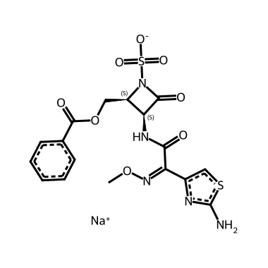 CON=C(C(=O)N[C@@H]1C(=O)N(S(=O)(=O)[O-])[C@@H]1COC(=O)c1ccccc1)c1csc(N)n1.[Na+]